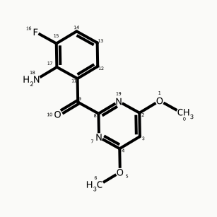 COc1cc(OC)nc(C(=O)c2cccc(F)c2N)n1